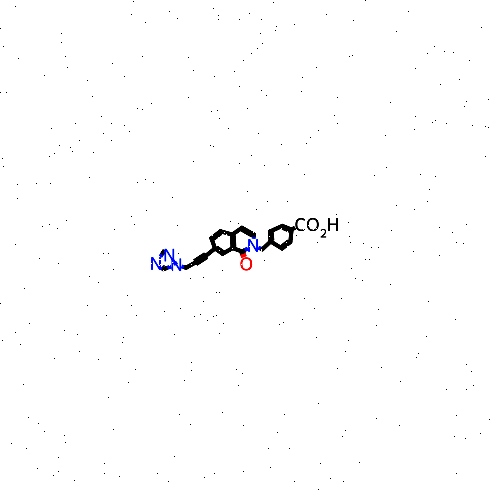 O=C(O)c1ccc(Cn2ccc3ccc(C#CCn4cncn4)cc3c2=O)cc1